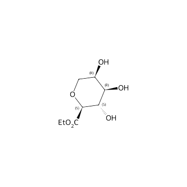 CCOC(=O)[C@H]1OC[C@@H](O)[C@@H](O)[C@@H]1O